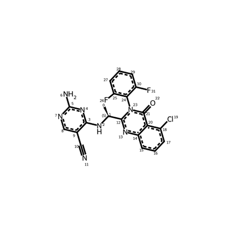 C[C@H](Nc1nc(N)ncc1C#N)c1nc2cccc(Cl)c2c(=O)n1-c1c(F)cccc1F